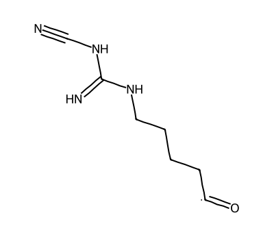 N#CNC(=N)NCCCC[C]=O